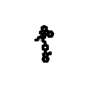 CCCNC(=O)C1(C/C=C\CN2CCC(N3Cc4ccccc4C3=O)CC2)c2ccccc2-c2ccccc21